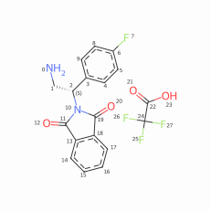 NC[C@H](c1ccc(F)cc1)N1C(=O)c2ccccc2C1=O.O=C(O)C(F)(F)F